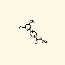 CC(C)(C)OC(=O)N1CCN(c2cc(C(F)(F)F)cc(Cl)n2)CC1